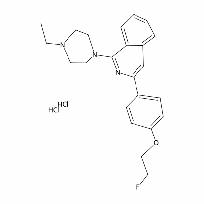 CCN1CCN(c2nc(-c3ccc(OCCF)cc3)cc3ccccc23)CC1.Cl.Cl